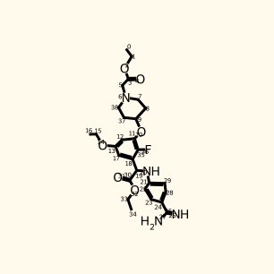 CCOC(=O)CN1CCC(Oc2cc(OCC)cc(C(Nc3ccc(C(=N)N)cc3)C(=O)OCC)c2F)CC1